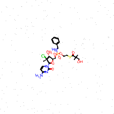 CC(C)(CO)C(=O)SCCO[P@@](=O)(NCc1ccccc1)OC[C@H]1O[C@@H](n2ccc(N)nc2=O)[C@](C)(Cl)[C@@H]1O